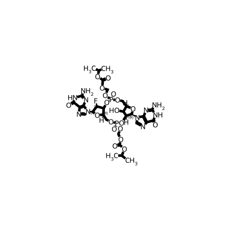 CC(C)OC(=O)OCOP1(=O)OC[C@H]2O[C@@H](n3cnc4c(=O)[nH]c(N)nc43)[C@@H](OP(=O)(OCOC(=O)OC(C)C)OC[C@H]3O[C@@H](n4cnc5c(=O)[nH]c(N)nc54)[C@@H](F)C3O1)C2O